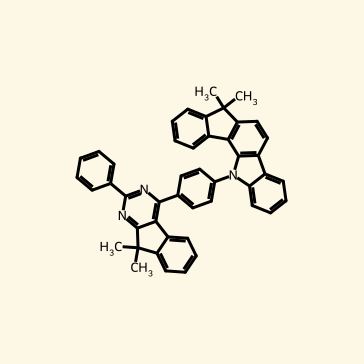 CC1(C)c2ccccc2-c2c1ccc1c3ccccc3n(-c3ccc(-c4nc(-c5ccccc5)nc5c4-c4ccccc4C5(C)C)cc3)c21